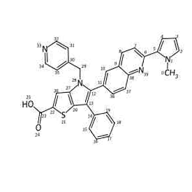 Cn1cccc1-c1ccc2cc(-c3c(-c4ccccc4)c4sc(C(=O)O)cc4n3Cc3ccncc3)ccc2n1